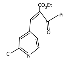 CCOC(=O)/C(=C/c1ccnc(Cl)c1)C(=O)C(C)C